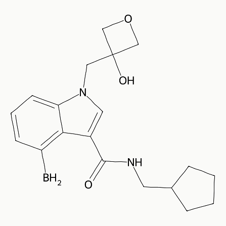 Bc1cccc2c1c(C(=O)NCC1CCCC1)cn2CC1(O)COC1